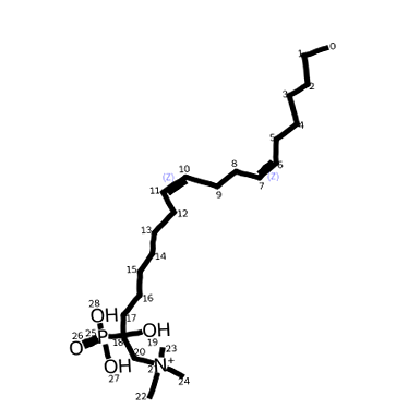 CCCCCC/C=C\CC/C=C\CCCCCCC(O)(C[N+](C)(C)C)P(=O)(O)O